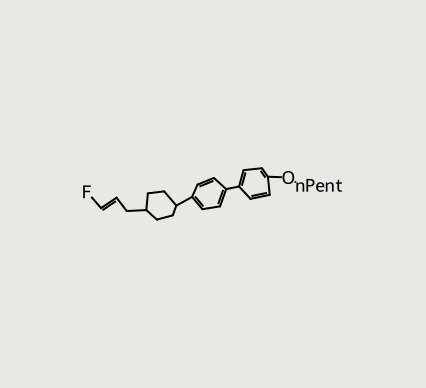 CCCCCOc1ccc(-c2ccc(C3CCC(CC=CF)CC3)cc2)cc1